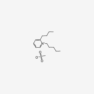 CCCCC[n+]1ccccc1CCCC.CS(=O)(=O)[O-]